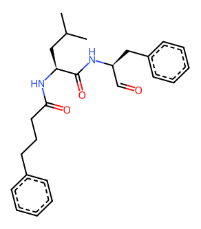 CC(C)C[C@H](NC(=O)CCCc1ccccc1)C(=O)N[C@H](C=O)Cc1ccccc1